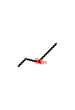 CCCCCCCC/C=C\CCCCCCCC(=O)OC(CO)COCCCCCCCCCCCCCCCCCC